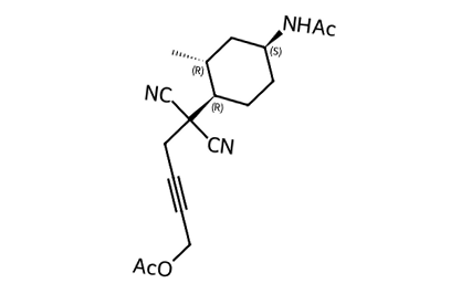 CC(=O)N[C@H]1CC[C@@H](C(C#N)(C#N)CC#CCOC(C)=O)[C@H](C)C1